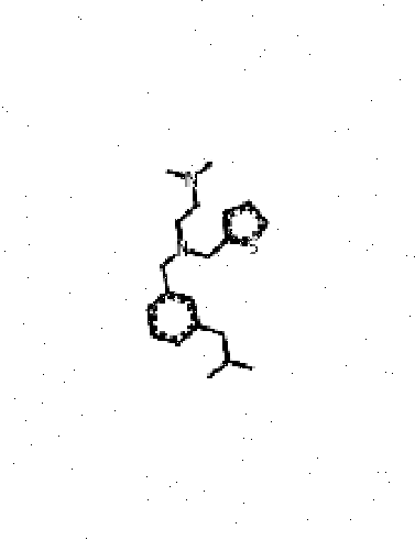 CC(C)Cc1cccc(CN(CCN(C)C)Cc2cccs2)c1